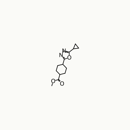 COC(=O)C1CCC(c2nnc(C3CC3)o2)CC1